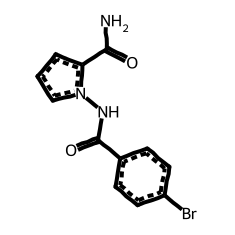 NC(=O)c1cccn1NC(=O)c1ccc(Br)cc1